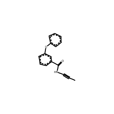 CC#CNC(=O)c1cccc(Oc2ccccc2)c1